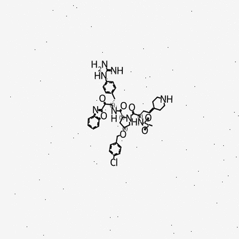 CS(=O)(=O)N[C@H](CC=C1CCNCC1)C(=O)N1C[C@H](OCc2ccc(Cl)cc2)C[C@H]1C(=O)N[C@@H](Cc1ccc(NC(=N)N)cc1)C(=O)c1nc2ccccc2o1